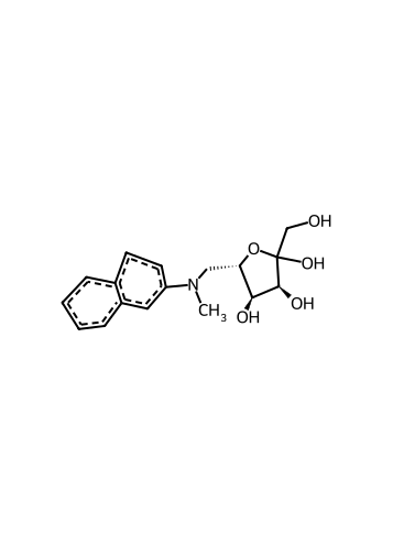 CN(C[C@@H]1OC(O)(CO)[C@@H](O)[C@H]1O)c1ccc2ccccc2c1